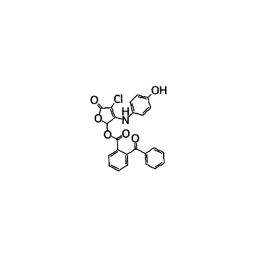 O=C1OC(OC(=O)c2ccccc2C(=O)c2ccccc2)C(Nc2ccc(O)cc2)=C1Cl